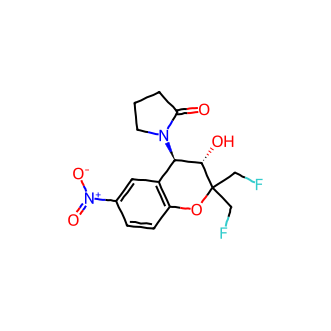 O=C1CCCN1[C@@H]1c2cc([N+](=O)[O-])ccc2OC(CF)(CF)[C@H]1O